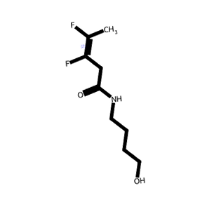 C/C(F)=C(/F)CC(=O)NCCCCO